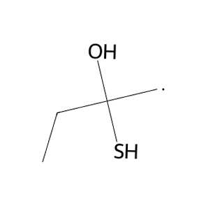 [CH2]C(O)(S)CC